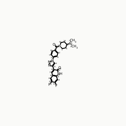 CN(C)C1CCN(C(=O)c2ccc(-n3cc(-c4cc5cc(F)c(F)cc5[nH]c4=O)nn3)cc2)CC1